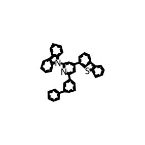 c1ccc(-c2cccc(-c3cc(-c4cccc5c4sc4ccccc45)cc(-n4c5ccccc5c5ccccc54)n3)c2)cc1